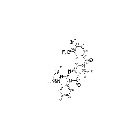 Cc1ccc(-n2c(-n3nc(C)cc3C)nc3c(c2=O)C[C@@H](C)N(C(=O)c2ccc(Br)c(C(F)(F)F)c2)C3)cc1